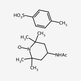 CC(=O)NC1CC(C)(C)N([O])C(C)(C)C1.Cc1ccc(S(=O)(=O)O)cc1